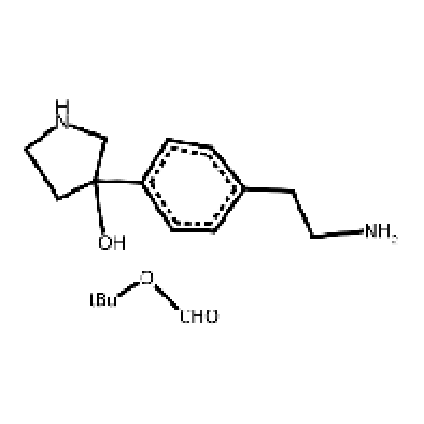 CC(C)(C)OC=O.NCCc1ccc(C2(O)CCNC2)cc1